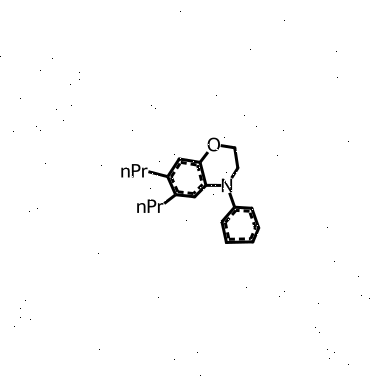 CCCc1cc2c(cc1CCC)N(c1ccccc1)CCO2